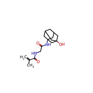 C=C(C)C(=O)NCC(=O)NC12CC3CC(CC(O)(C3)C1)C2